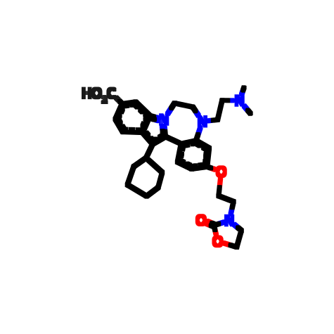 CN(C)CCN1CCn2c(c(C3CCCCC3)c3ccc(C(=O)O)cc32)-c2ccc(OCCN3CCOC3=O)cc21